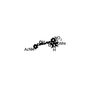 COC(=O)C1=C(C)NC(C)=C(C(=O)OC)C1c1cc([N+](=O)[O-])ccc1OCCCCNCC(O)COc1ccc(NC(C)=O)cc1